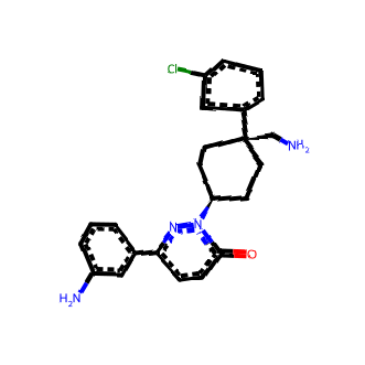 NC[C@]1(c2cccc(Cl)c2)CC[C@H](n2nc(-c3cccc(N)c3)ccc2=O)CC1